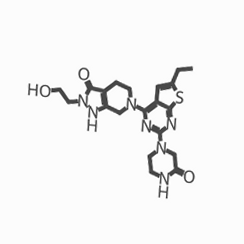 CCc1cc2c(N3CCc4c([nH]n(CCO)c4=O)C3)nc(N3CCNC(=O)C3)nc2s1